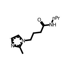 CCCNC(=O)CCCn1c[c]nc1C